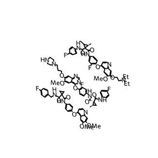 CCN(CC)CCOc1cc2nccc(Oc3ccc(NC(=O)C4(C(=O)Nc5ccc(F)cc5)C(C)[C@H]4C)cc3F)c2cc1OC.COc1cc2c(Oc3ccc(NC(=O)[C@]4(C(=O)Nc5ccc(F)cc5)C[C@H]4C)cc3F)ncnc2cc1OCCCN1CCNCC1.COc1cc2nccc(Oc3ccc(NC(=O)C4(C(=O)NCc5ccc(F)cc5)CC4)cc3)c2cc1OC